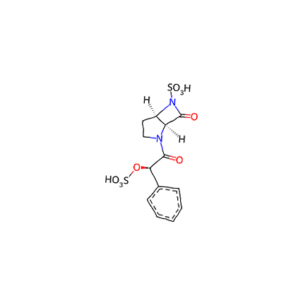 O=C([C@H](OS(=O)(=O)O)c1ccccc1)N1CC[C@@H]2[C@H]1C(=O)N2S(=O)(=O)O